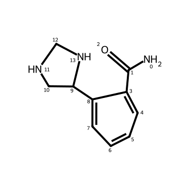 NC(=O)c1ccccc1C1CNCN1